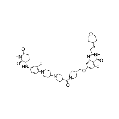 O=C1CCC(Nc2ccc(N3CCC(N4CCC(C(=O)N5CCC(COc6cc(F)c7c(=O)[nH]c(CSC8CCOCC8)nc7c6)CC5)CC4)CC3)c(F)c2)C(=O)N1